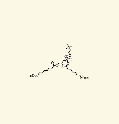 CCCCCCCCCCCCCCCCC(=O)OC[C@H](COP(=O)([O-])OCC[N+](C)(C)C)OC(=O)CCCCCCCCCCCCCCCC